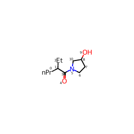 CCCC(CC)C(=O)N1CCC(O)C1